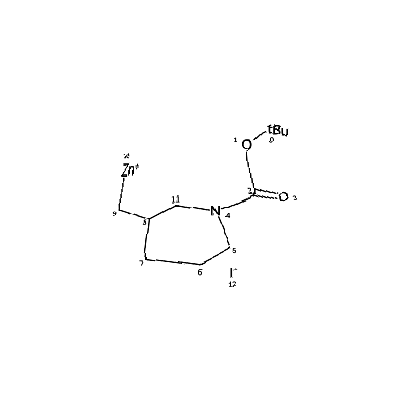 CC(C)(C)OC(=O)N1CCCC([CH2][Zn+])C1.[I-]